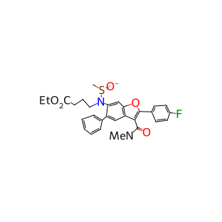 CCOC(=O)CCCN(c1cc2oc(-c3ccc(F)cc3)c(C(=O)NC)c2cc1-c1ccccc1)[S+](C)[O-]